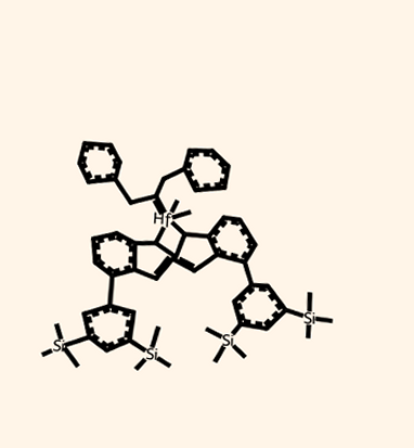 C[Si](C)(C)c1cc(-c2cccc3c2C=C[CH]3[Hf]([CH3])([CH3])(=[C](Cc2ccccc2)Cc2ccccc2)[CH]2C=Cc3c(-c4cc([Si](C)(C)C)cc([Si](C)(C)C)c4)cccc32)cc([Si](C)(C)C)c1